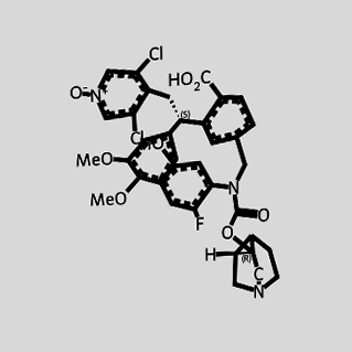 COc1ccc([C@H](Cc2c(Cl)c[n+]([O-])cc2Cl)c2cc(CN(C(=O)O[C@H]3CN4CCC3CC4)c3cc(O)ccc3F)ccc2C(=O)O)cc1OC